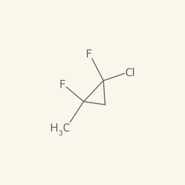 CC1(F)CC1(F)Cl